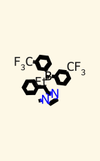 CCB(c1cccc(C(F)(F)F)c1)c1cccc(C(F)(F)F)c1.Cn1ccnc1Cc1ccccc1